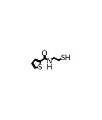 O=C(NCCS)c1cccs1